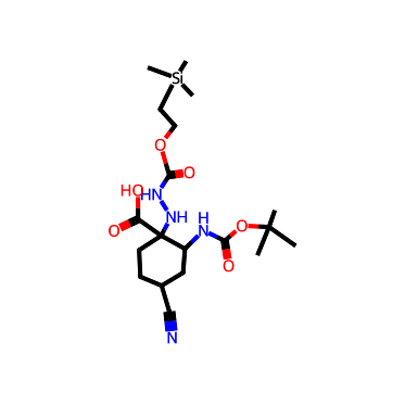 CC(C)(C)OC(=O)NC1CC(C#N)CCC1(NNC(=O)OCC[Si](C)(C)C)C(=O)O